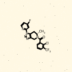 C[C@H]1Cc2c(nnn2-c2cc(F)ccn2)CN1C(=O)c1cccc(C(F)(F)F)c1Cl